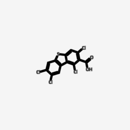 O=C(O)c1c(Cl)cc2sc3cc(Cl)c(Cl)cc3c2c1Cl